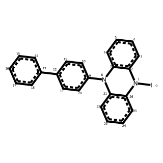 IN1c2ccccc2N(c2ccc(-c3ccccc3)cc2)c2ccccc21